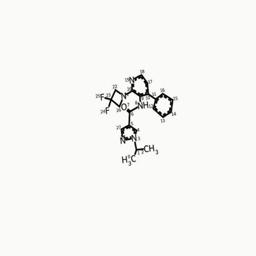 CC(C)n1cc(C(=O)Nc2c(-c3ccccc3)ccnc2N2CC(F)(F)C2)cn1